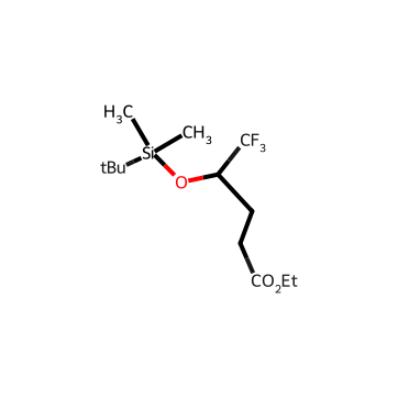 CCOC(=O)CCC(O[Si](C)(C)C(C)(C)C)C(F)(F)F